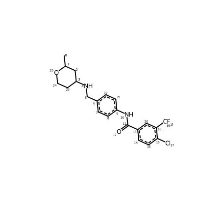 CC1CC(NCc2ccc(NC(=O)c3ccc(Cl)c(C(F)(F)F)c3)cc2)CCO1